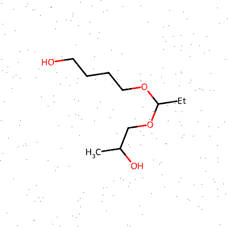 CCC(OCCCCO)OCC(C)O